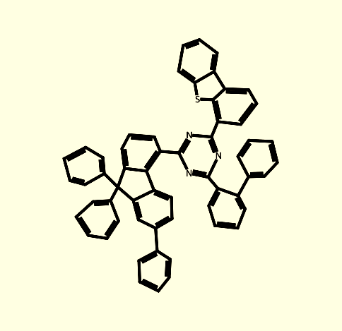 c1ccc(-c2ccc3c(c2)C(c2ccccc2)(c2ccccc2)c2cccc(-c4nc(-c5ccccc5-c5ccccc5)nc(-c5cccc6c5sc5ccccc56)n4)c2-3)cc1